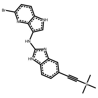 C[Si](C)(C)C#Cc1ccc2[nH]c(Nc3c[nH]c4ccc(Br)nc34)nc2c1